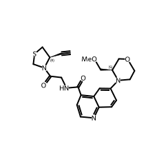 C#C[C@@H]1CSCN1C(=O)CNC(=O)c1ccnc2ccc(N3CCOC[C@@H]3COC)cc12